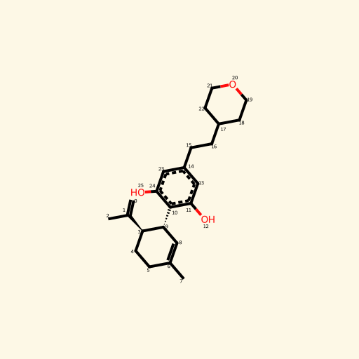 C=C(C)[C@@H]1CCC(C)=C[C@H]1c1c(O)cc(CCC2CCOCC2)cc1O